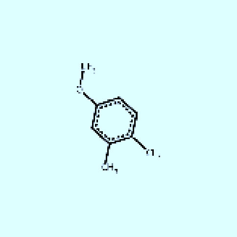 Cc1cc(OC(F)(F)F)ccc1C(F)(F)F